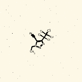 CCn1nnc(C(Cl)(Cl)C(Cl)(Cl)Cl)c1C#N